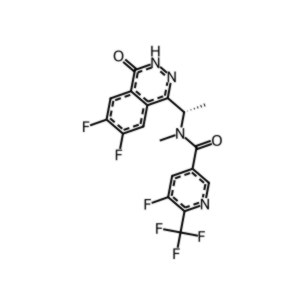 C[C@@H](c1n[nH]c(=O)c2cc(F)c(F)cc12)N(C)C(=O)c1cnc(C(F)(F)F)c(F)c1